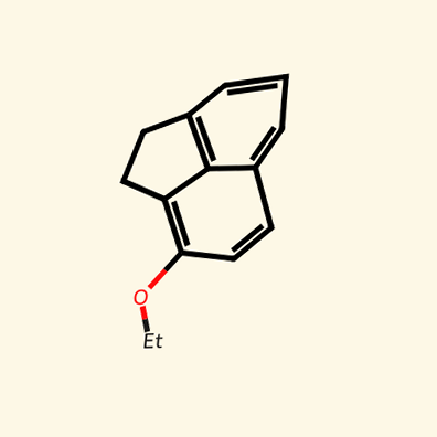 CCOc1ccc2cccc3c2c1CC3